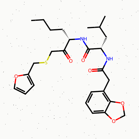 CCCC[C@H](NC(=O)[C@H](CC(C)C)NC(=O)Cc1cccc2c1OCO2)C(=O)CSCc1ccco1